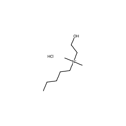 CCCCC[N+](C)(C)CCO.Cl